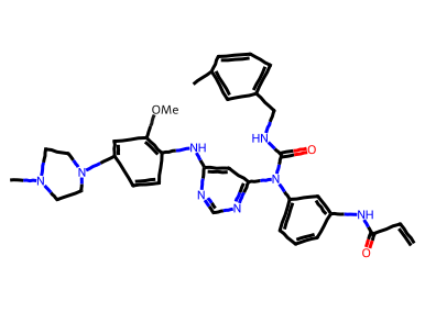 C=CC(=O)Nc1cccc(N(C(=O)NCc2cccc(C)c2)c2cc(Nc3ccc(N4CCN(C)CC4)cc3OC)ncn2)c1